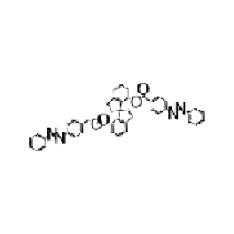 O=C(Oc1cccc2c1C1(CCc3cccc(OOCc4ccc(/N=N/c5ccccc5)cc4)c31)CC2)c1ccc(/N=N/c2ccccc2)cc1